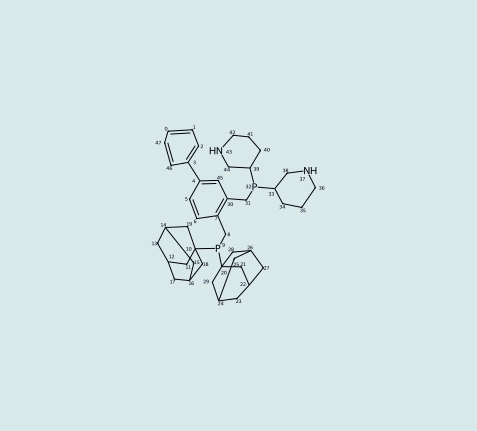 c1ccc(-c2ccc(CP(C34CC5CC(CC(C5)C3)C4)C34CC5CC(CC(C5)C3)C4)c(CP(C3CCCNC3)C3CCCNC3)c2)cc1